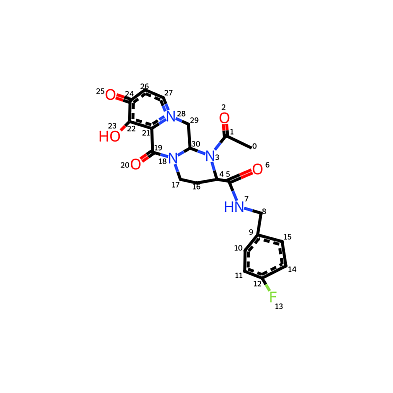 CC(=O)N1C(C(=O)NCc2ccc(F)cc2)CCN2C(=O)c3c(O)c(=O)ccn3CC21